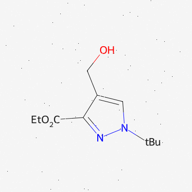 CCOC(=O)c1nn(C(C)(C)C)cc1CO